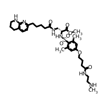 CNCCNC(=O)CCCOc1cc(C)c(S(=O)(=O)N[C@H](CNC(=O)CCCCc2ccc3c(n2)NCCC3)C(=O)OC)c(C)c1